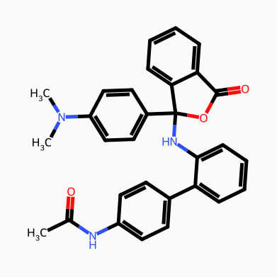 CC(=O)Nc1ccc(-c2ccccc2NC2(c3ccc(N(C)C)cc3)OC(=O)c3ccccc32)cc1